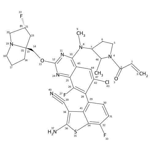 C=CC(=O)N1CCC(N(C)c2nc(OC[C@@]34CCCN3C[C@H](F)C4)nc3c(F)c(-c4ccc(F)c5sc(N)c(C#N)c45)c(Cl)cc23)C1C